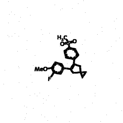 COc1ccc(C2=C(c3ccc(S(C)(=O)=O)cc3)CC3(CC3)C2)cc1F